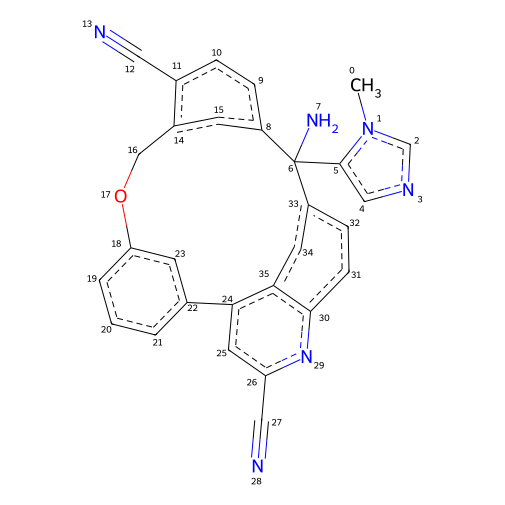 Cn1cncc1C1(N)c2ccc(C#N)c(c2)COc2cccc(c2)-c2cc(C#N)nc3ccc1cc23